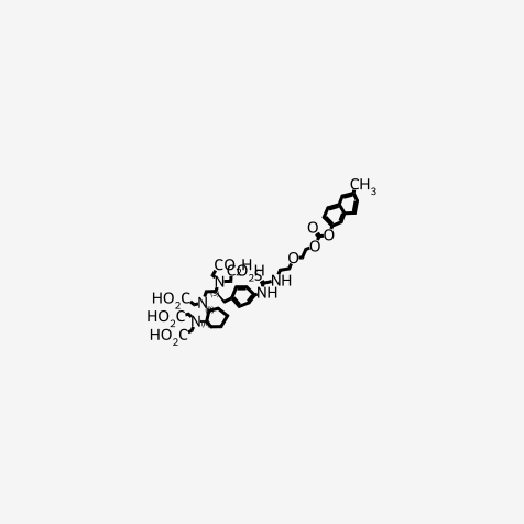 Cc1ccc2cc(OC(=O)OCCOCCNC(=S)Nc3ccc(C[C@@H](CN(CC(=O)O)[C@@H]4CCCC[C@H]4N(CC(=O)O)CC(=O)O)N(CC(=O)O)CC(=O)O)cc3)ccc2c1